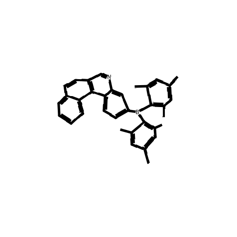 Cc1cc(C)c(B(c2ccc3c(c2)ncc2ccc4ccccc4c23)c2c(C)cc(C)cc2C)c(C)c1